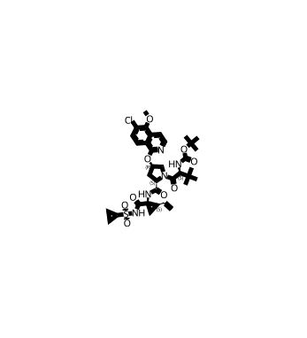 C=C[C@@H]1C[C@]1(NC(=O)[C@@H]1C[C@@H](Oc2nccc3c(OC)c(Cl)ccc23)CN1C(=O)[C@@H](NC(=O)OC(C)(C)C)C(C)(C)C)C(=O)NS(=O)(=O)C1CC1